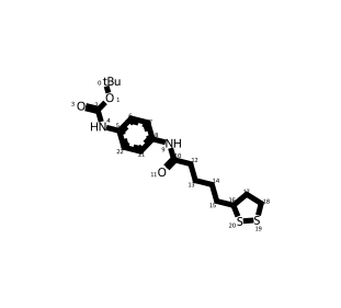 CC(C)(C)OC(=O)Nc1ccc(NC(=O)CCCCC2CCSS2)cc1